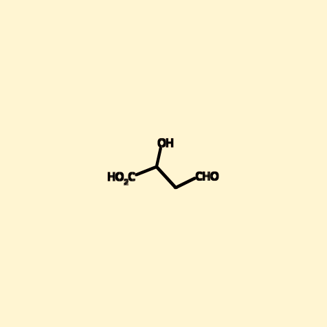 O=CCC(O)C(=O)O